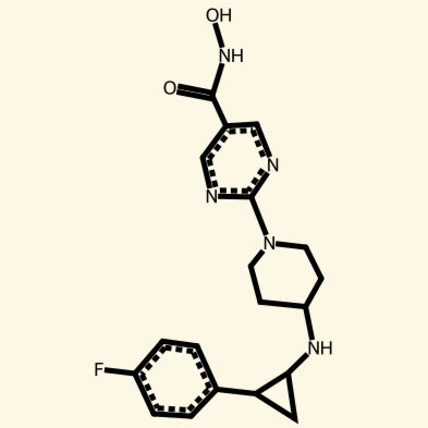 O=C(NO)c1cnc(N2CCC(NC3CC3c3ccc(F)cc3)CC2)nc1